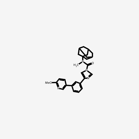 COc1ccc(-c2cccc(-c3cn(C(=O)N(C)C45CC6CC(CC(C6)C4)C5)cn3)c2)cn1